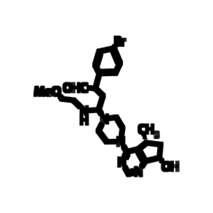 COCCNC(CC(C=O)c1ccc(Br)cc1)N1CCN(c2ncnc3c2[C@H](C)C[C@H]3O)CC1